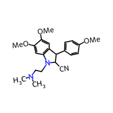 COc1ccc(C2c3cc(OC)c(OC)cc3N(CCN(C)C)C2C#N)cc1